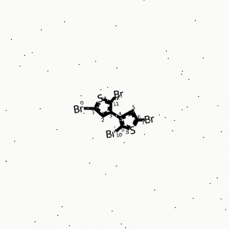 Brc1cc(-c2cc(Br)sc2Br)c(Br)s1